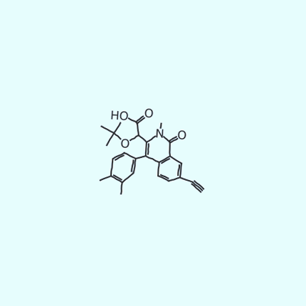 C#Cc1ccc2c(-c3ccc(C)c(C)c3)c(C(OC(C)(C)C)C(=O)O)n(C)c(=O)c2c1